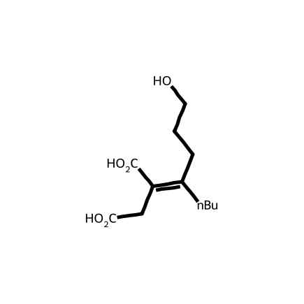 CCCCC(CCCO)=C(CC(=O)O)C(=O)O